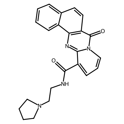 O=C(NCCN1CCCC1)c1cccn2c(=O)c3ccc4ccccc4c3nc12